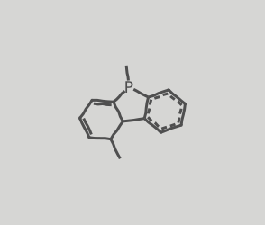 CC1C=CC=C2C1c1ccccc1P2C